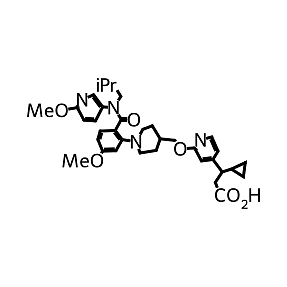 COc1ccc(C(=O)N(CC(C)C)c2ccc(OC)nc2)c(N2CCC(COc3cc(C(CC(=O)O)C4CC4)ccn3)CC2)c1